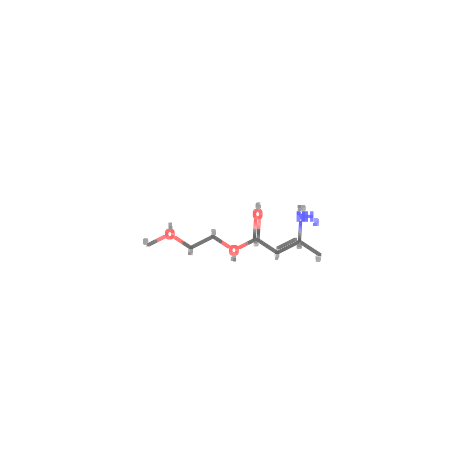 COCCOC(=O)C=C(C)N